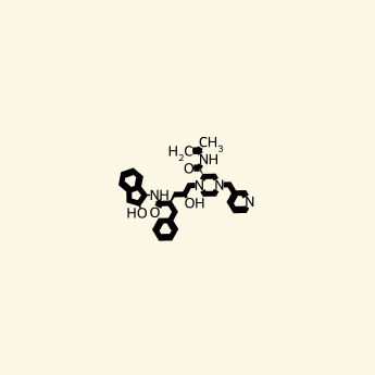 C=C(C)NC(=O)[C@@H]1CN(Cc2cccnc2)CCN1C[C@@H](O)C[C@@H](Cc1ccccc1)C(=O)N[C@H]1c2ccccc2C[C@H]1O